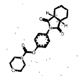 O=C(Oc1ccc(N2C(=O)[C@H]3CCCC[C@H]3C2=O)cc1)N1CCOCC1